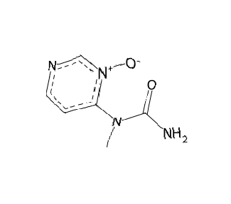 CN(C(N)=O)c1ccnc[n+]1[O-]